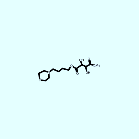 COC(=O)C(O)C(O)C(=O)OCCCCN1CCOCC1